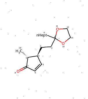 CCCCCCCC1(CC[C@H]2C=CC(=O)[C@@H]2C)OCCO1